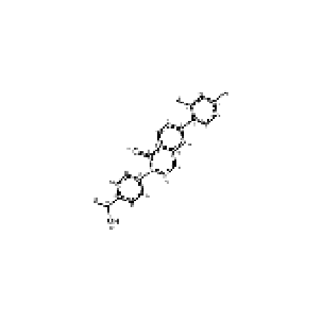 Cc1ccc(-c2ccc3c(=O)n(-c4ccc(C(C)O)cc4)ncc3c2)c(C)c1